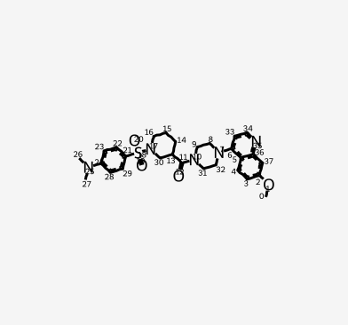 COc1ccc2c(N3CCN(C(=O)C4CCCN(S(=O)(=O)c5ccc(N(C)C)cc5)C4)CC3)ccnc2c1